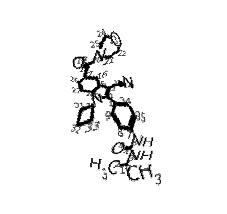 CC(C)NC(=O)Nc1ccc(-c2c(C#N)c3cc(C(=O)N4CCOCC4)ccc3n2C2CCC2)cc1